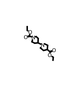 CCOC(=O)C1CCN(C2CCN(C(=O)OCC)CC2)CC1